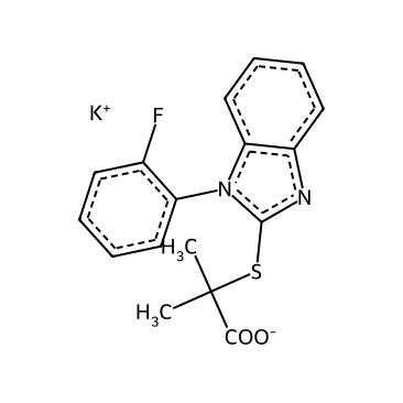 CC(C)(Sc1nc2ccccc2n1-c1ccccc1F)C(=O)[O-].[K+]